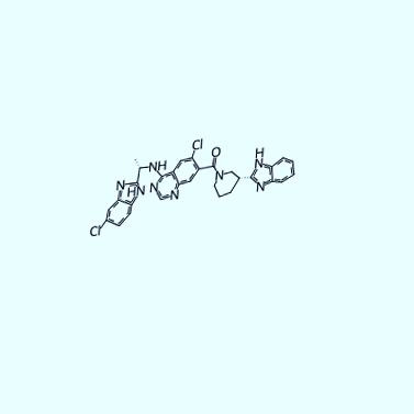 C[C@H](Nc1ncnc2cc(C(=O)N3CCC[C@@H](c4nc5ccccc5[nH]4)C3)c(Cl)cc12)c1nc2cc(Cl)ccc2[nH]1